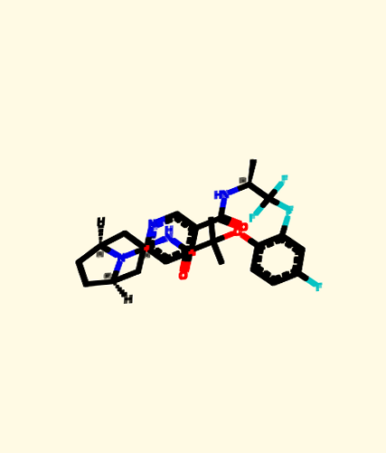 C[C@H](NC(=O)c1ccc(N2[C@@H]3CC[C@H]2C[C@@H](NC(=O)C(C)(C)Oc2ccc(F)cc2F)C3)nc1)C(F)(F)F